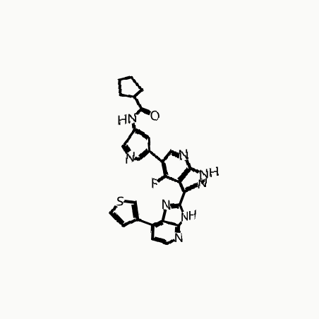 O=C(Nc1cncc(-c2cnc3[nH]nc(-c4nc5c(-c6ccsc6)ccnc5[nH]4)c3c2F)c1)C1CCCC1